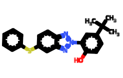 CC(C)(C)c1ccc(O)c(-n2nc3ccc(Sc4ccccc4)cc3n2)c1